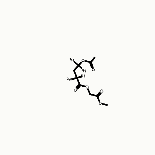 [2H]C([2H])(CC([2H])([2H])C(=O)OCC(=O)OC)OC(C)=O